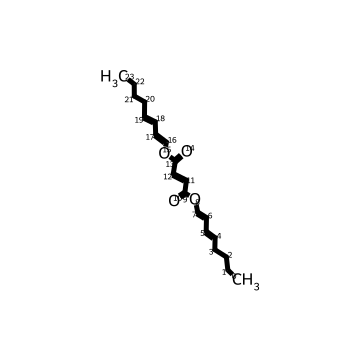 CCCCC=CC=COC(=O)C=CC(=O)OC=CC=CCCCC